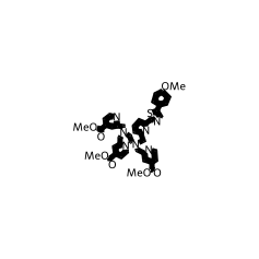 COC(=O)c1ccnc(CN(CCN(Cc2cc(C(=O)OC)ccn2)Cc2cccc(-c3ncc(-c4ccc(OC)cc4)s3)n2)Cc2cc(C(=O)OC)ccn2)c1